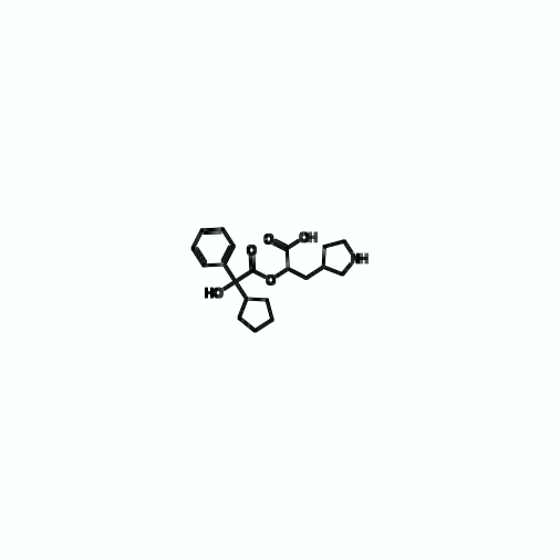 O=C(O)C(CC1CCNC1)OC(=O)C(O)(c1ccccc1)C1CCCC1